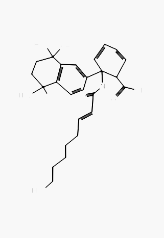 CCCCCCC=CC(=O)NC1(c2ccc3c(c2)C(C)(C)CCC3(C)C)C=CC=CC1C(=O)O